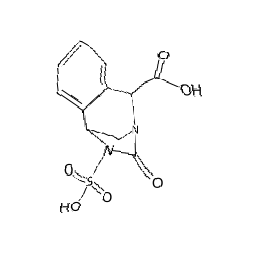 O=C(O)C1c2ccccc2C2CN1C(=O)N2S(=O)(=O)O